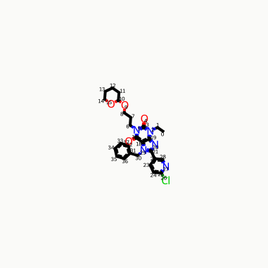 CCn1c(=O)n(CCCOC2CCCCO2)c(=O)c2c1nc(-c1ccc(Cl)nc1)n2Cc1ccccc1